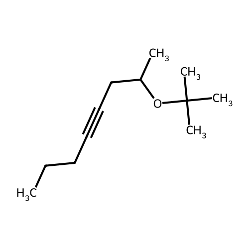 CCCC#CCC(C)OC(C)(C)C